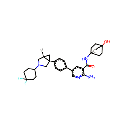 Nc1ncc(-c2ccc([C@]34C[C@H]3CN(C3CCC(F)(F)CC3)C4)cc2)cc1C(=O)NC12CCC(O)(CC1)CC2